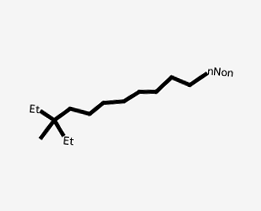 [CH2]CCCCCCCCCCCCCCCCC(C)(CC)CC